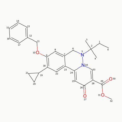 CCC(C)(C)N1Cc2cc(OCc3ccccc3)c(C3CC3)cc2-c2cc(=O)c(C(=O)OC)cn21